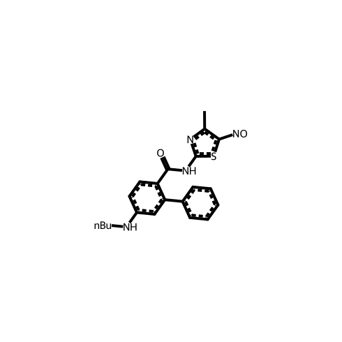 CCCCNc1ccc(C(=O)Nc2nc(C)c(N=O)s2)c(-c2ccccc2)c1